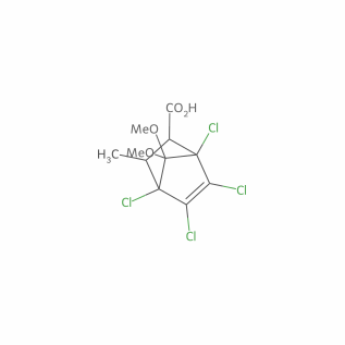 COC1(OC)C2(Cl)C(Cl)=C(Cl)C1(Cl)C(C(=O)O)C2C